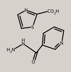 NNC(=O)c1cccnc1.O=C(O)c1nccs1